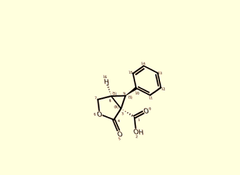 O=C(O)[C@]12C(=O)OC[C@H]1[C@H]2c1ccccc1